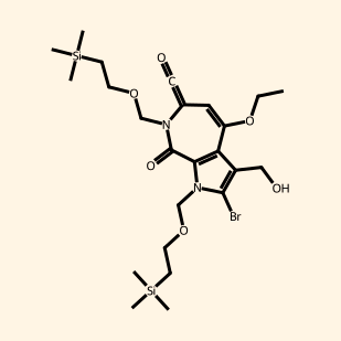 CCOC1=CC(=C=O)N(COCC[Si](C)(C)C)C(=O)c2c1c(CO)c(Br)n2COCC[Si](C)(C)C